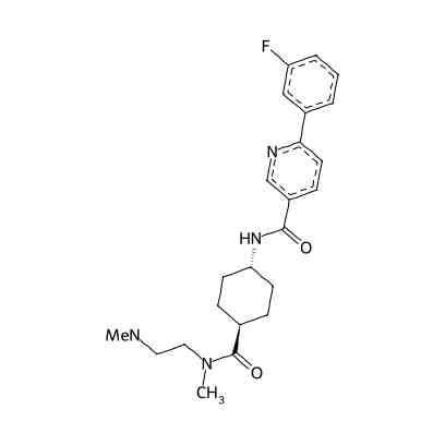 CNCCN(C)C(=O)[C@H]1CC[C@H](NC(=O)c2ccc(-c3cccc(F)c3)nc2)CC1